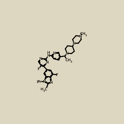 Cc1nc2c(F)cc(-c3nc(Nc4ccc(C(C)N5CCC(N6CCN(C)CC6)CC5)cn4)ncc3F)cc2n1C(C)C